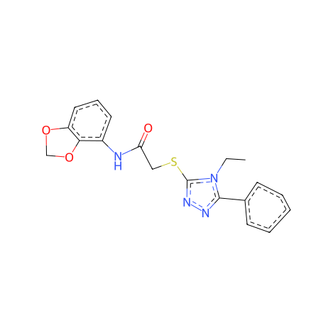 CCn1c(SCC(=O)Nc2cccc3c2OCO3)nnc1-c1ccccc1